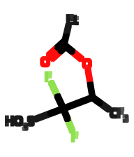 CCC(=O)OC(C(F)(F)F)C(F)(F)S(=O)(=O)O